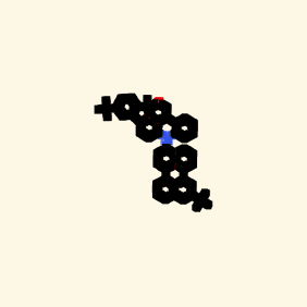 CC(C)(C)c1ccc2c(c1)-c1ccc(N(c3ccc(-c4cccc5cc(C(C)(C)C)cc(-c6ccccc6)c45)cc3)c3ccccc3-c3ccccc3)cc1C2(C)C